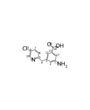 Nc1cc(Cc2ccc(Cl)cn2)cc(C(=O)O)c1